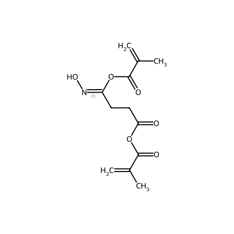 C=C(C)C(=O)OC(=O)CC/C(=N/O)OC(=O)C(=C)C